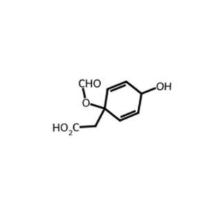 O=COC1(CC(=O)O)C=CC(O)C=C1